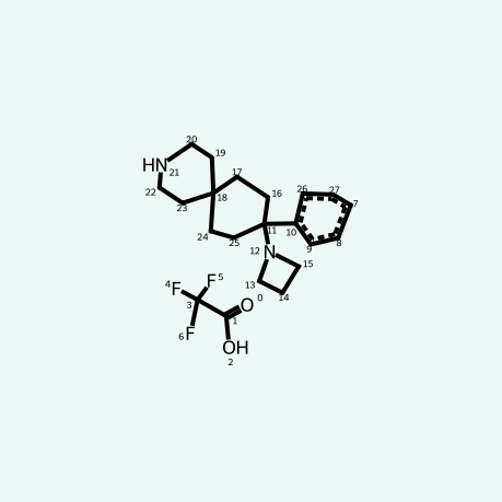 O=C(O)C(F)(F)F.c1ccc(C2(N3CCC3)CCC3(CCNCC3)CC2)cc1